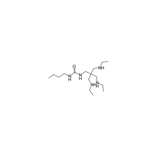 CCCCNC(=O)NCC(CNCC)(CNCC)CNCC